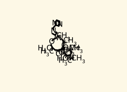 CO[C@]1(C)C[C@@H](C)CN(C)[C@H](C2CN(Cc3cnccn3)C2)COCC(C)(C)C[C@@H](C)[C@H]1O[C@@H]1O[C@H](C)C[C@H](N(C)C)[C@H]1O